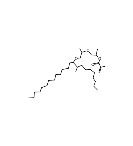 C=C(C)C(=O)OC(C)COC(C)COC(CCCCCCCCCCCCC)C(C)CCCCCCCC